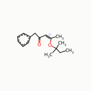 CCC(C)(C)O/C(C)=C\C(=O)Cc1ccccc1